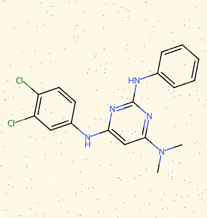 CN(C)c1cc(Nc2ccc(Cl)c(Cl)c2)nc(Nc2ccccc2)n1